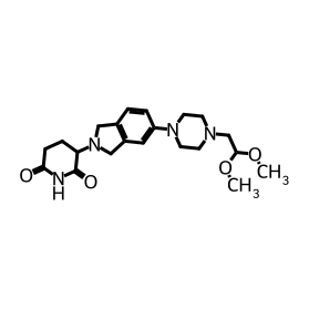 COC(CN1CCN(c2ccc3c(c2)CN(C2CCC(=O)NC2=O)C3)CC1)OC